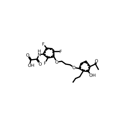 CCCc1c(OCCCOc2c(F)cc(F)c(NC(=O)C(=O)O)c2F)ccc(C(C)=O)c1O